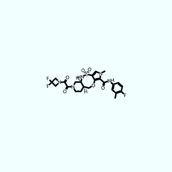 Cc1cc(NC(=O)c2c3c(cn2C)S(=O)(=O)N[C@@H]2CN(C(=O)C(=O)N4CC(F)(F)C4)CC[C@@H]2CO3)ccc1F